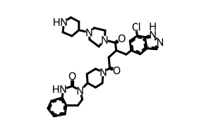 O=C(CC(Cc1cc(Cl)c2[nH]ncc2c1)C(=O)N1CCN(C2CCNCC2)CC1)N1CCC(N2CCc3ccccc3NC2=O)CC1